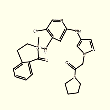 C[N+]1(Nc2cc(Nc3cnn(CC(=O)N4CCCC4)c3)ncc2Cl)CCc2ccccc2C1=O